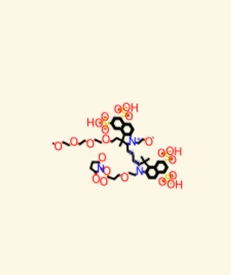 COCCOCCOCCOCCC1(C)C(/C=C/C=C2/N(CCOCCC(=O)ON3C(=O)CCC3=O)c3ccc4c(S(=O)(=O)O)cc(S(=O)(=O)O)cc4c3C2(C)C)=[N+](CCOC)c2ccc3c(S(=O)(=O)O)cc(S(=O)(=O)O)cc3c21